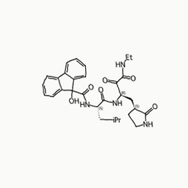 CCNC(=O)C(=O)[C@@H](C[C@@H]1CCNC1=O)NC(=O)[C@H](CC(C)C)NC(=O)C1(O)c2ccccc2-c2ccccc21